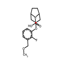 COCc1cccc(OC2CC3CCC(C2)N3C(=O)O)c1F